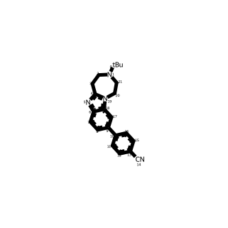 CC(C)(C)N1CCc2nc3ccc(-c4ccc(C#N)cc4)cc3n2CC1